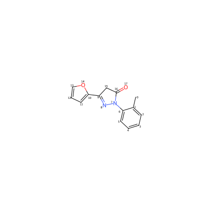 Cc1ccccc1N1N=C(c2ccco2)CC1=O